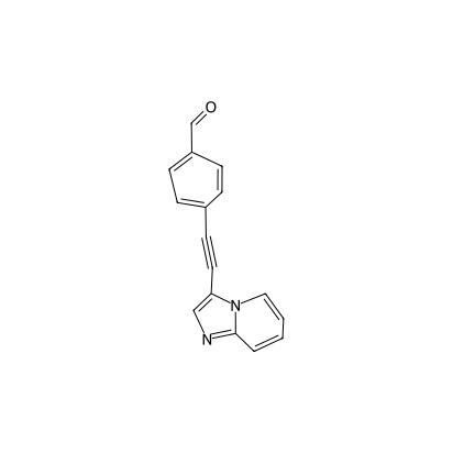 O=Cc1ccc(C#Cc2cnc3ccccn23)cc1